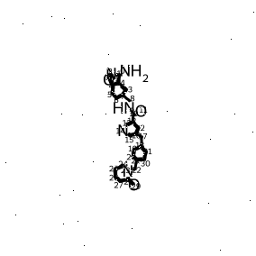 Nc1noc2ccc(CNC(=O)c3cncc(Cc4ccc(Cn5ccccc5=O)cc4)c3)cc12